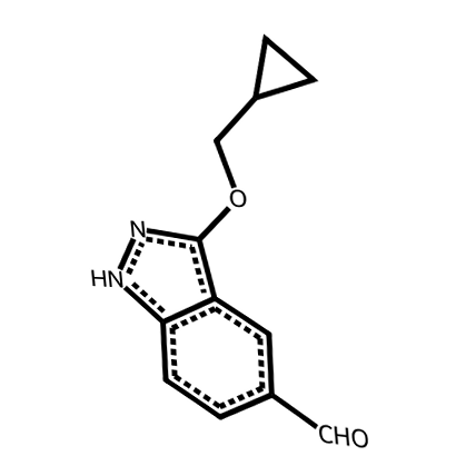 O=Cc1ccc2[nH]nc(OCC3CC3)c2c1